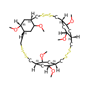 COC1C[C@@H]2CSSC[C@H]3C[C@@H](OC)[C@@H](CSSC[C@H]4CC(OC)[C@@H](CSSC[C@H]1C[C@H]2OC)C[C@H]4OC)CC3OC